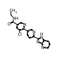 CCNC(=O)c1cnc(-c2ccc(-c3nc4ncccc4[nH]3)nc2)c(Cl)c1